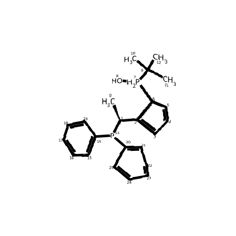 C[C@@H](C1=CC=CC1[PH2](O)C(C)(C)C)P(c1ccccc1)c1ccccc1